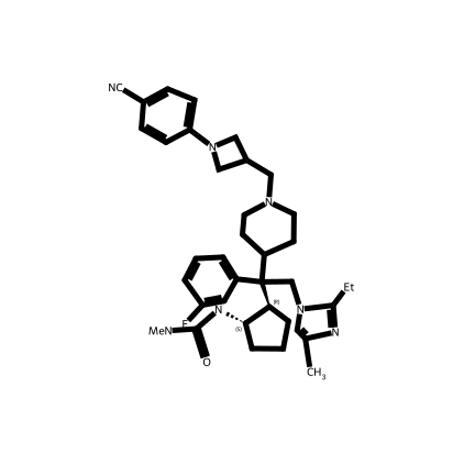 CCc1nc(C)cn1CC(c1cccc(F)c1)(C1CCN(CC2CN(c3ccc(C#N)cc3)C2)CC1)[C@H]1CCC[C@@H]1NC(=O)NC